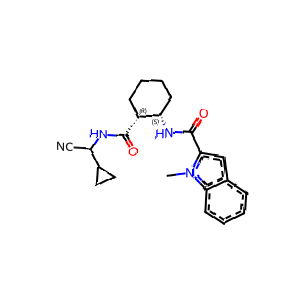 Cn1c(C(=O)N[C@H]2CCCC[C@H]2C(=O)NC(C#N)C2CC2)cc2ccccc21